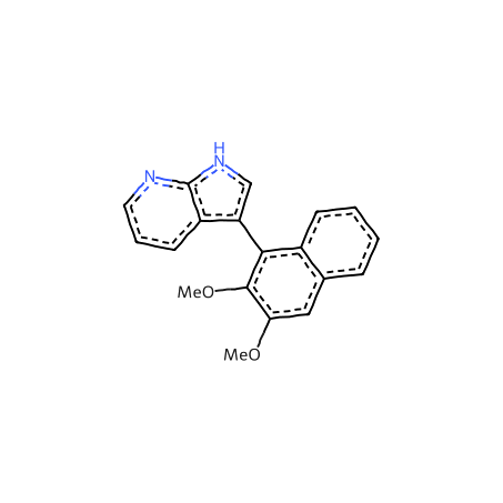 COc1cc2ccccc2c(-c2c[nH]c3ncccc23)c1OC